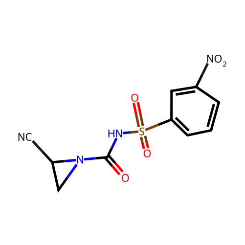 N#CC1CN1C(=O)NS(=O)(=O)c1cccc([N+](=O)[O-])c1